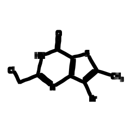 Cc1sc2c(=O)[nH]c(CCl)nc2c1Br